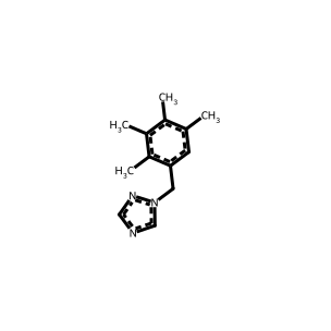 Cc1cc(Cn2cncn2)c(C)c(C)c1C